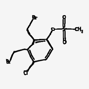 CS(=O)(=O)Oc1ccc(Cl)c(CBr)c1CBr